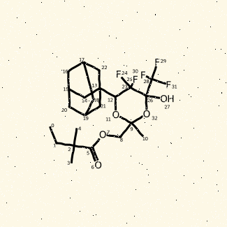 CCC(C)(C)C(=O)OCC1(C)OC(C23CC4CC(CC(C4)C2)C3)C(F)(F)C(O)(C(F)(F)F)O1